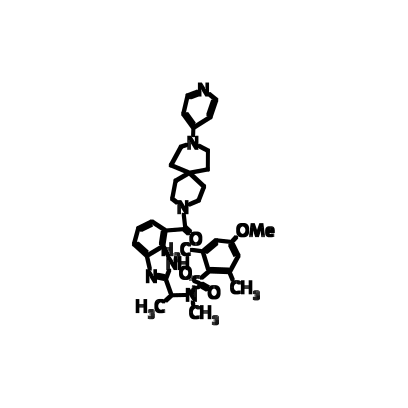 COc1cc(C)c(S(=O)(=O)N(C)C(C)c2nc3cccc(C(=O)N4CCC5(CC4)CCN(c4ccncc4)CC5)c3[nH]2)c(C)c1